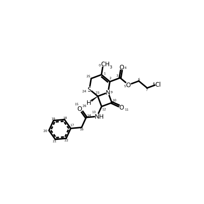 CC1=C(C(=O)OCCCl)N2C(=O)C(NC(=O)Cc3ccccc3)[C@@H]2SC1